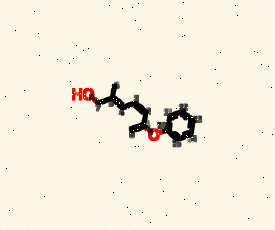 C=C(/C=C\C=C(/C)CO)Oc1ccccc1